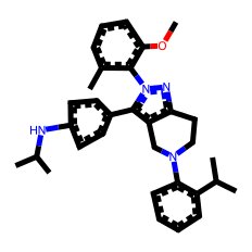 COc1cccc(C)c1-n1nc2c(c1-c1ccc(NC(C)C)cc1)CN(c1ccccc1C(C)C)CC2